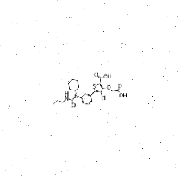 CCCNC(=O)N(c1cccc(-c2sc(C(=O)O)c(OCC(=O)O)c2Cl)c1)C1CCCCC1